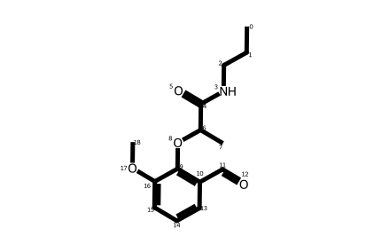 CCCNC(=O)C(C)Oc1c(C=O)cccc1OC